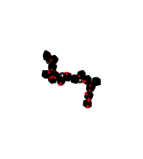 c1ccc(-c2ccc(-c3ccc(N(c4ccccc4)c4ccc(-c5cccc6c5oc5ccc(-c7ccc8oc9c(-c%10ccc(N(c%11ccc(-c%12cccc%13c%12oc%12ccccc%12%13)cc%11)c%11ccccc%11-c%11ccccc%11)cc%10)cccc9c8c7)cc56)cc4)cc3)cc2)cc1